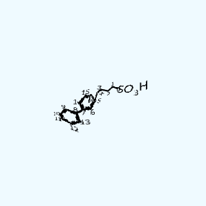 O=S(=O)(O)CCC[n+]1ccc(-c2ccccc2)cc1